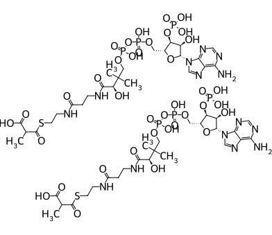 CC(C(=O)O)C(=O)SCCNC(=O)CCNC(=O)[C@H](O)C(C)(C)COP(=O)(O)OP(=O)(O)OC[C@H]1O[C@@H](n2cnc3c(N)ncnc32)[C@H](O)[C@@H]1OP(=O)(O)O.CC(C(=O)O)C(=O)SCCNC(=O)CCNC(=O)[C@H](O)C(C)(C)COP(=O)(O)OP(=O)(O)OC[C@H]1O[C@@H](n2cnc3c(N)ncnc32)[C@H](O)[C@@H]1OP(=O)(O)O